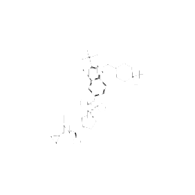 CC(C)(C)c1nc2cc(S(=O)(=O)N3CC[C@H](C(=O)NC4CC4)C3)ccc2n1CC1CCC(F)(F)CC1